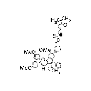 C=C(C)C(=O)OCCNC(=O)OCC1CCCN(c2cc3c4c(c5c(c3cc2OC)OC(c2ccc(OC)cc2)(c2ccc(OC)cc2)C=C5)C(C)(C)c2ccccc2-4)C1